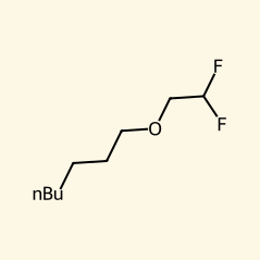 CCCCCCCOCC(F)F